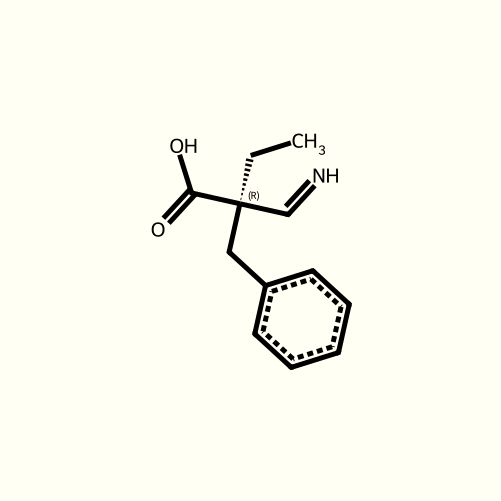 CC[C@](C=N)(Cc1ccccc1)C(=O)O